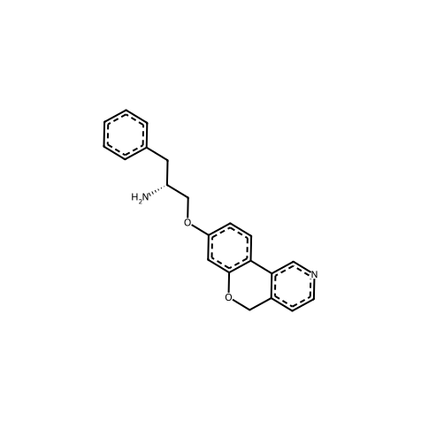 N[C@@H](COc1ccc2c(c1)OCc1ccncc1-2)Cc1ccccc1